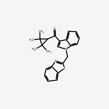 CC1(C)C(C(=O)c2cn(Cc3nc4ccccc4s3)c3ccccc23)C1(C)C